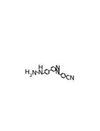 N#Cc1ccc(Cn2cnc3ccc(-c4ccc(CNCCN)cc4)cc32)cc1